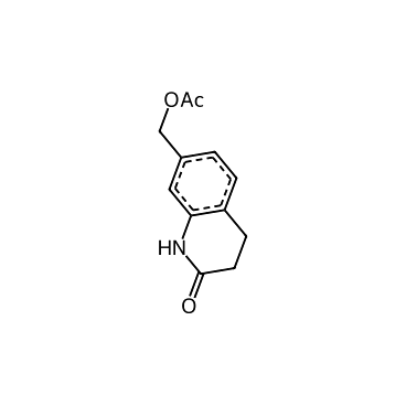 CC(=O)OCc1ccc2c(c1)NC(=O)CC2